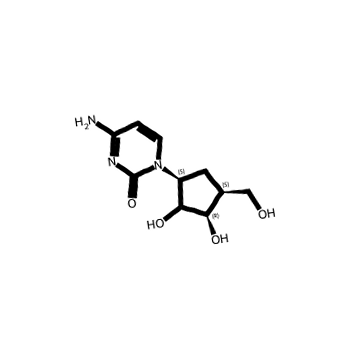 Nc1ccn([C@H]2C[C@@H](CO)[C@@H](O)C2O)c(=O)n1